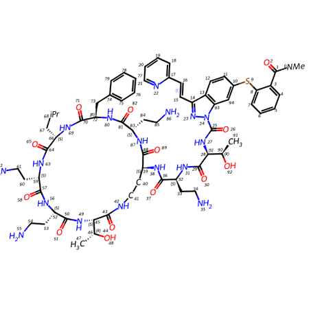 CNC(=O)c1ccccc1Sc1ccc2c(/C=C/c3ccccn3)nn(C(=O)N[C@H](C(=O)N[C@@H](CCN)C(=O)N[C@H]3CCNC(=O)[C@H]([C@@H](C)O)NC(=O)[C@H](CCN)NC(=O)[C@H](CCN)NC(=O)[C@H](CC(C)C)NC(=O)[C@@H](Cc4ccccc4)NC(=O)[C@H](CCN)NC3=O)[C@@H](C)O)c2c1